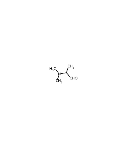 CC([C]=O)N(C)C